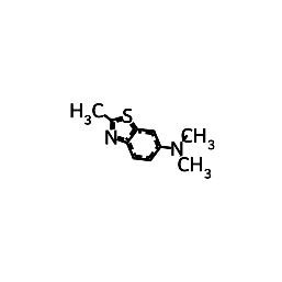 Cc1nc2ccc(N(C)C)cc2s1